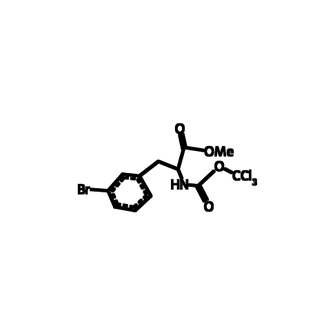 COC(=O)C(Cc1cccc(Br)c1)NC(=O)OC(Cl)(Cl)Cl